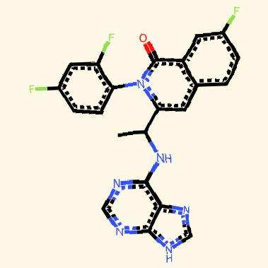 CC(Nc1ncnc2[nH]cnc12)c1cc2ccc(F)cc2c(=O)n1-c1ccc(F)cc1F